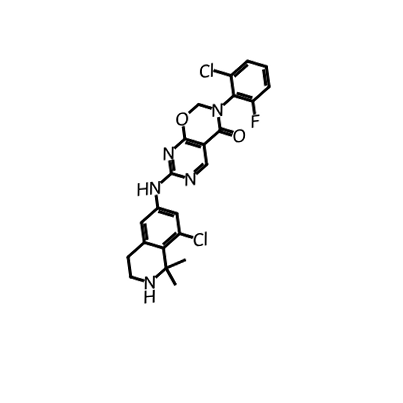 CC1(C)NCCc2cc(Nc3ncc4c(n3)OCN(c3c(F)cccc3Cl)C4=O)cc(Cl)c21